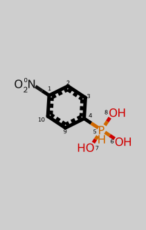 O=[N+]([O-])c1ccc([PH](O)(O)O)cc1